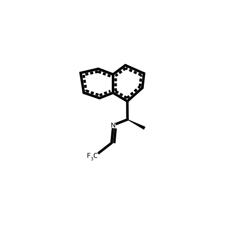 C[C@@H](/N=C/C(F)(F)F)c1cccc2ccccc12